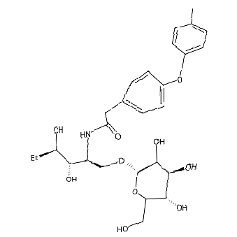 CC[C@@H](O)[C@@H](O)[C@H](CO[C@H]1OC(CO)[C@@H](O)[C@H](O)C1O)NC(=O)Cc1ccc(Oc2ccc(C)cc2)cc1